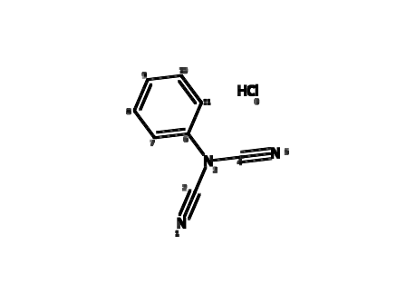 Cl.N#CN(C#N)c1ccccc1